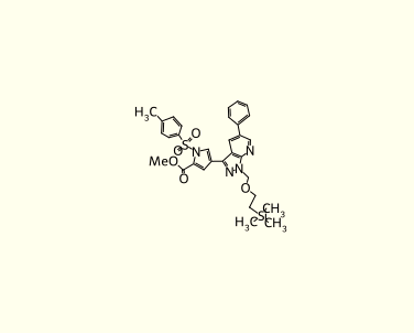 COC(=O)c1cc(-c2nn(COCC[Si](C)(C)C)c3ncc(-c4ccccc4)cc23)cn1S(=O)(=O)c1ccc(C)cc1